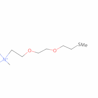 CSCCOCCOCC[N+](C)(C)C